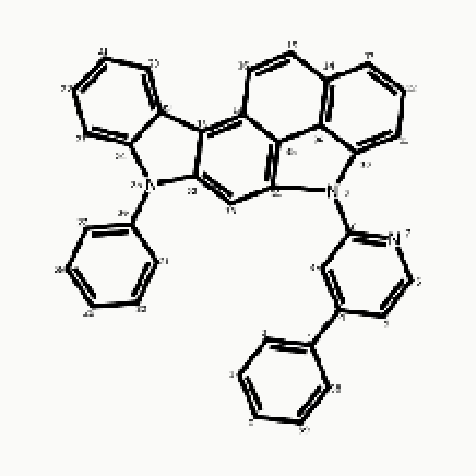 c1ccc(-c2ccnc(-n3c4cccc5ccc6c7c8ccccc8n(-c8ccccc8)c7cc3c6c54)c2)cc1